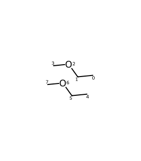 CCOC.CCOC